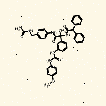 COc1ccc(NC(=N)Nc2cccc(C(C)(NC(=O)C(c3ccccc3)c3ccccc3)C(=O)Nc3ccc(CNC(N)=O)cc3)c2)cc1